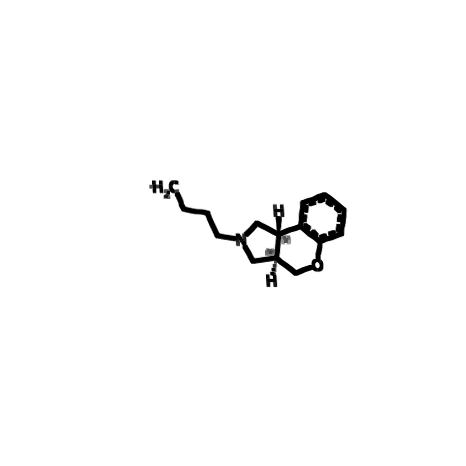 [CH2]CCCN1C[C@@H]2COc3ccccc3[C@H]2C1